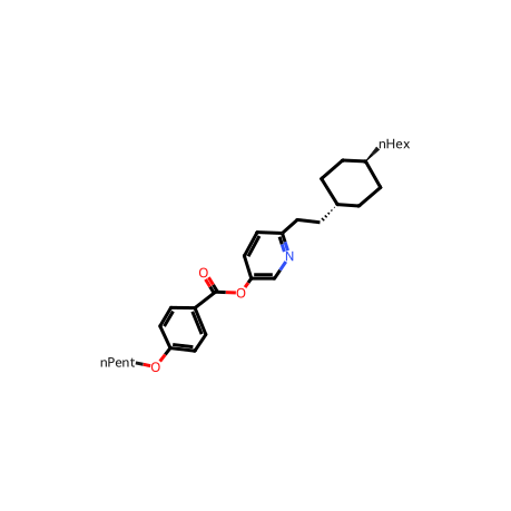 CCCCCC[C@H]1CC[C@H](CCc2ccc(OC(=O)c3ccc(OCCCCC)cc3)cn2)CC1